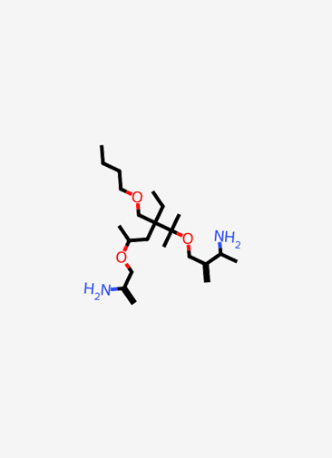 C=C(N)COC(C)CC(CC)(COCCCC)C(C)(C)OCC(=C)C(C)N